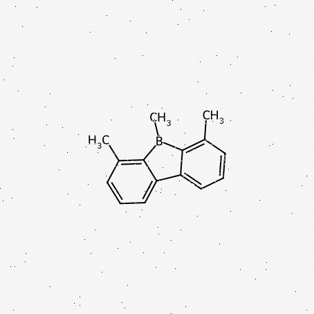 CB1c2c(C)cccc2-c2cccc(C)c21